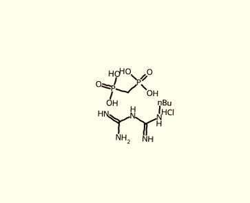 CCCCNC(=N)NC(=N)N.Cl.O=P(O)(O)CP(=O)(O)O